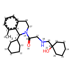 Cc1cccc2c1C(C1CCCCC1)N(C(=O)CNCC1(O)CCCCC1)CC2